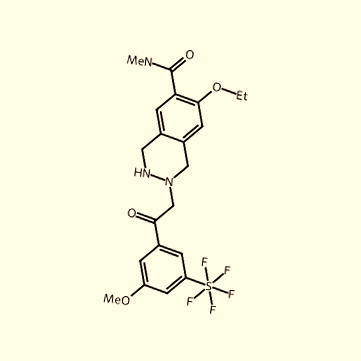 CCOc1cc2c(cc1C(=O)NC)CNN(CC(=O)c1cc(OC)cc(S(F)(F)(F)(F)F)c1)C2